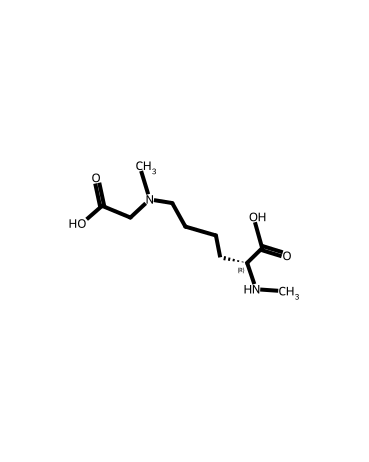 CN[C@H](CCCCN(C)CC(=O)O)C(=O)O